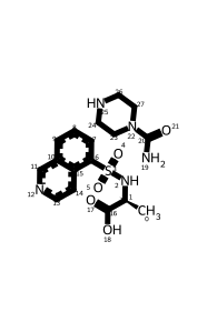 C[C@H](NS(=O)(=O)c1cccc2cnccc12)C(=O)O.NC(=O)N1CCNCC1